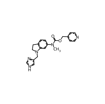 CN(C(=O)OCc1ccncc1)c1ccc2c(c1)N(Cc1c[nH]cn1)CC2